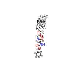 CC(=O)[C@H]1CC[C@H]2[C@@H]3CC[C@H]4C[C@](C)(OC(=O)CN(C)C(=O)C(C)(C)NC(=O)OCc5ccccc5)CC[C@]4(C)[C@H]3CC[C@]12C